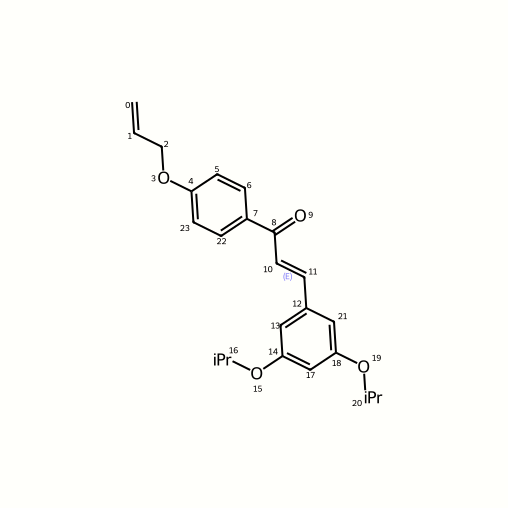 C=CCOc1ccc(C(=O)/C=C/c2cc(OC(C)C)cc(OC(C)C)c2)cc1